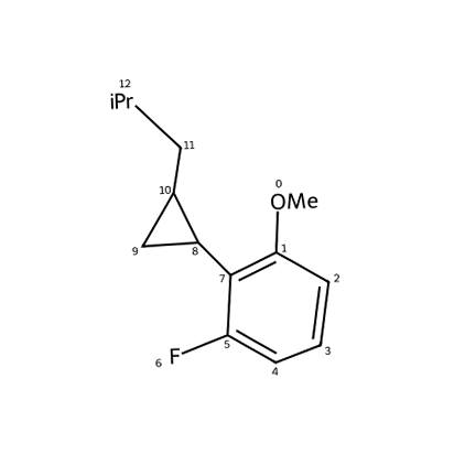 COc1cccc(F)c1C1CC1CC(C)C